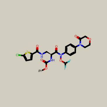 CC(C)OC(=O)N[C@@H](CNC(=O)c1ccc(Cl)s1)C(=O)N(OC(F)F)c1ccc(N2CCOCC2=O)cc1